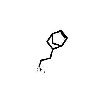 FC(F)(F)CCC1CC2C=CC1C2